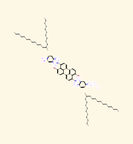 CCCCCCCCCCCCC(CCCCCCCCCC)COc1cc2nc3c4ccc5c6ccc7c(=O)n8c9cc([N+](=O)[O-])c(OCC(CCCCCCCCCC)CCCCCCCCCCCC)cc9nc8c8ccc(c9ccc(c(=O)n3c2cc1N)c4c59)c6c78